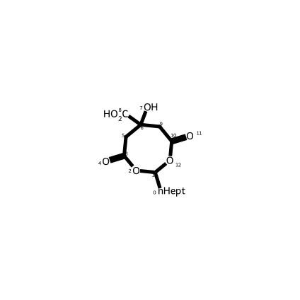 CCCCCCCC1OC(=O)CC(O)(C(=O)O)CC(=O)O1